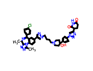 Cc1nnc2n1-c1ccc(-c3cnn(CCCCN4CCC(O)(c5ccc(-n6cc(C7CCC(=O)NC7=O)nn6)cc5)CC4)c3)cc1C(c1ccc(Cl)cc1)=N[C@H]2C